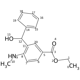 CCOC(=O)c1ccc(NC)c(C(O)c2ccccc2)c1